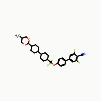 CC1COC(C2CCC(C3CCC(C(F)(F)Oc4ccc(-c5cc(F)c(C#N)c(F)c5)cc4)CC3)CC2)OC1